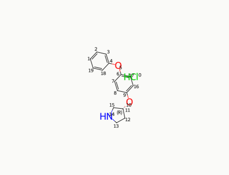 Cl.c1ccc(Oc2ccc(O[C@@H]3CCNC3)cc2)cc1